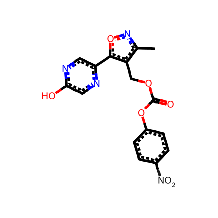 Cc1noc(-c2cnc(O)cn2)c1COC(=O)Oc1ccc([N+](=O)[O-])cc1